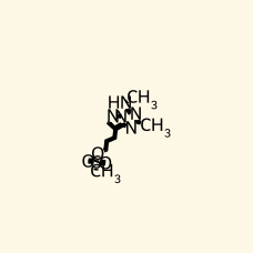 CNc1nc(C)nc2c(CCCOS(C)(=O)=O)cnn12